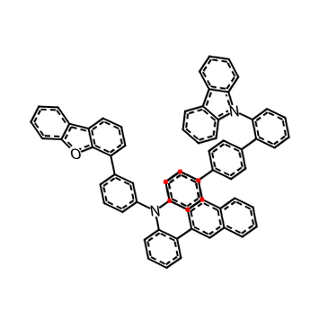 c1cc(-c2cccc3c2oc2ccccc23)cc(N(c2ccc(-c3ccc(-c4ccccc4-n4c5ccccc5c5ccccc54)cc3)cc2)c2ccccc2-c2cc3ccccc3c3ccccc23)c1